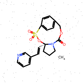 C.O=C1OCc2ccc(cc2)S(=O)(=O)O[C@]2(C=Cc3cccnc3)CCCN12